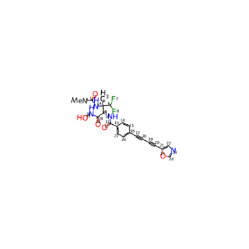 CNC(=O)NC(C)(C(F)F)[C@H](NC(=O)c1ccc(C#CC#Cc2cnco2)cc1)C(=O)NO